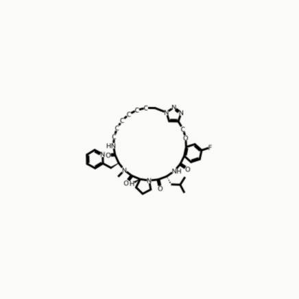 CC(C)C[C@H]1NC(=O)c2ccc(F)cc2OCc2cn(nn2)CCCCCCCNC(=O)[C@H](Cc2ccccn2)N(C)C(=O)[C@H]2CCCN2C1=O